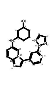 OC1CCCC(Nc2ccc3ncc(-c4ccnc(-n5nccn5)c4)n3c2)C1